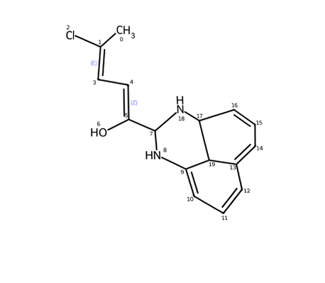 C/C(Cl)=C\C=C(/O)C1NC2=CC=CC3=CC=CC(N1)C32